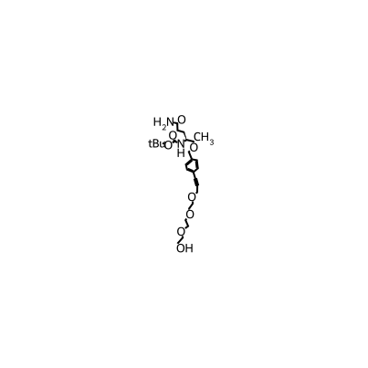 C[C@@H](OCc1ccc(C#CCOCCOCCOCCO)cc1)[C@H](CCC(N)=O)NC(=O)OC(C)(C)C